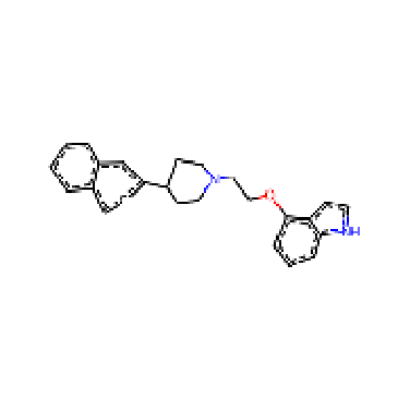 c1ccc2cc(C3CCN(CCOc4cccc5[nH]ccc45)CC3)ccc2c1